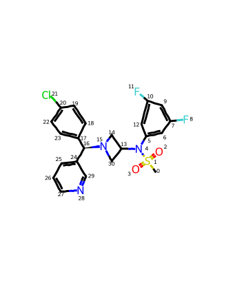 CS(=O)(=O)N(c1cc(F)cc(F)c1)C1CN([C@H](c2ccc(Cl)cc2)c2cccnc2)C1